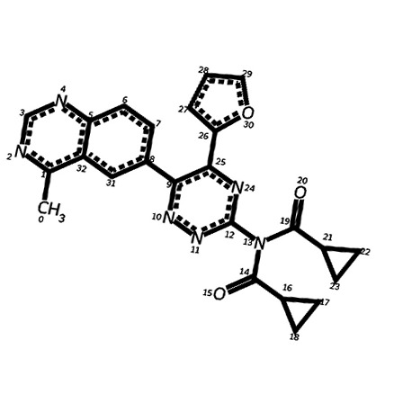 Cc1ncnc2ccc(-c3nnc(N(C(=O)C4CC4)C(=O)C4CC4)nc3-c3ccco3)cc12